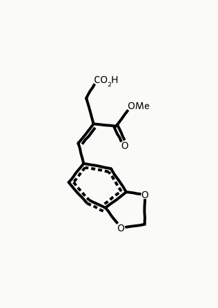 COC(=O)C(=Cc1ccc2c(c1)OCO2)CC(=O)O